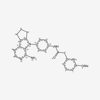 COc1cccc(CC(=O)Nc2ccc(-n3c4c(c5ncnc(N)c53)CCC4)cc2)n1